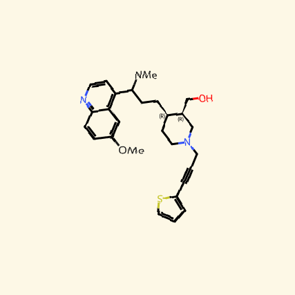 CNC(CC[C@@H]1CCN(CC#Cc2cccs2)C[C@@H]1CO)c1ccnc2ccc(OC)cc12